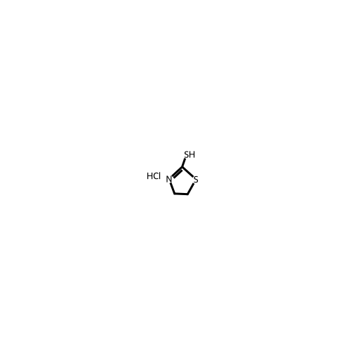 Cl.SC1=NCCS1